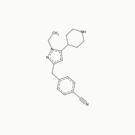 CCn1nc(Cc2ccc(C#N)cc2)cc1C1CCNCC1